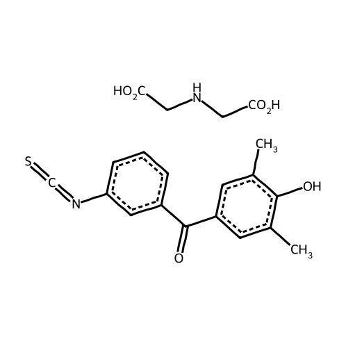 Cc1cc(C(=O)c2cccc(N=C=S)c2)cc(C)c1O.O=C(O)CNCC(=O)O